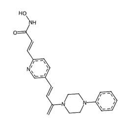 C=C(/C=C/c1ccc(/C=C/C(=O)NO)nc1)N1CCN(c2ccccc2)CC1